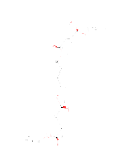 CCCCCCCCCOC(=O)CCC(=O)OCCCCOC(=O)CCC(=O)OCCCCCCCCC